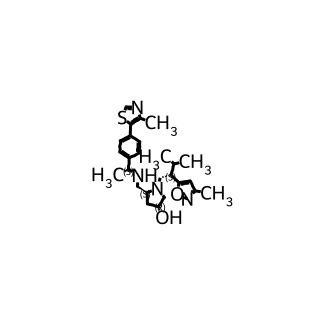 Cc1cc([C@H](CN2C[C@H](O)C[C@H]2CN[C@@H](C)c2ccc(-c3scnc3C)cc2)C(C)C)on1